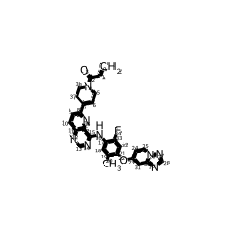 C=CC(=O)N1CC=C(c2ccc3ncnc(Nc4cc(C)c(Oc5ccn6ncnc6c5)cc4F)c3n2)CC1